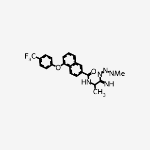 CN/N=N\C(=N)C(C)NC(=O)c1ccc2c(Oc3ccc(C(F)(F)F)cc3)cccc2c1